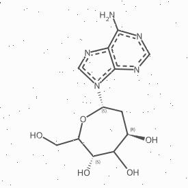 Nc1ncnc2c1ncn2[C@@H]1C[C@@H](O)C(O)[C@H](O)C(CO)O1